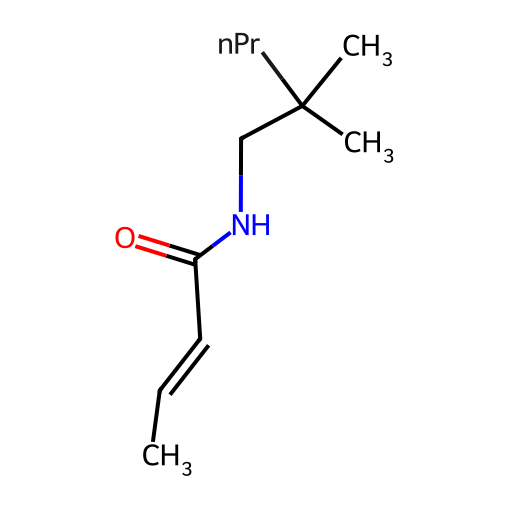 C/C=C/C(=O)NCC(C)(C)CCC